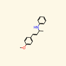 COc1ccc(/C=C/C(C)Nc2ccccc2)cc1